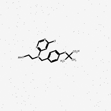 COCCN(Cc1ccc(SC(C)(C)C(=O)O)cc1)c1cc(Cl)ncn1